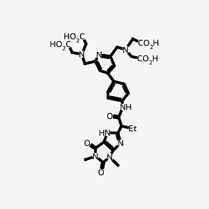 CCC(C(=O)Nc1ccc(-c2cc(CN(CC(=O)O)CC(=O)O)nc(CN(CC(=O)O)CC(=O)O)c2)cc1)c1nc2c([nH]1)c(=O)n(C)c(=O)n2C